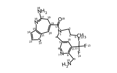 CCCN(Cc1cnc(CN)c(C(F)(F)F)c1)C(=O)C1=Cc2sccc2N=C(N)C1